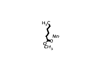 CCCCCC(=O)OC.[Mn]